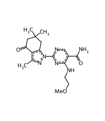 COCCNc1nc(-n2nc(C)c3c2CC(C)(C)CC3=O)ncc1C(N)=O